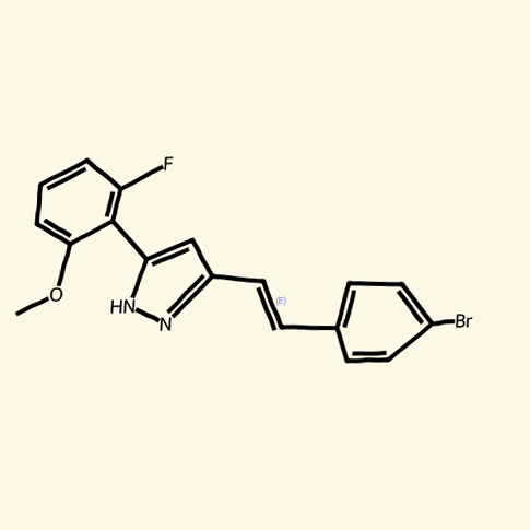 COc1cccc(F)c1-c1cc(/C=C/c2ccc(Br)cc2)n[nH]1